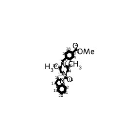 COC(=O)c1ccc(CN2[C@H](C)CN(C(=O)N3CCc4ccccc43)C[C@@H]2C)cc1